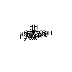 Nc1ccc2ccc(S(=O)(=O)O)cc2c1/N=N/c1cc(Nc2nc(F)nc(Nc3ccc(S(=O)(=O)CCOS(=O)(=O)O)cc3)n2)ccc1S(=O)(=O)O